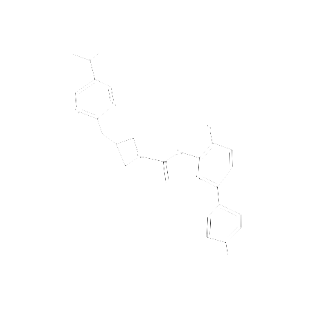 Nc1ccc(-c2ccc(F)cc2)nc1NC(=O)N1CC(Cc2ncc(C(F)F)cn2)C1